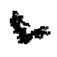 CC(C)C[C@H](NC(=O)[C@H](CCCCN)NC(=O)[C@H](CO)NC(=O)[C@@H](N)CCCCN)C(=O)NCC(=O)N[C@@H](CC(=O)O)C(=O)N[C@@H](CC(C)C)C(=O)N[C@H](C(=O)N[C@H](C(=O)N[C@H](C(=O)N[C@@H](CO)C(=O)N[C@@H](CC(C)C)C(=O)N1CCC[C@H]1C(=O)NCC(=O)NCC(=O)N[C@@H](CCC(=O)O)C(=O)N[C@@H](CCC(=O)O)C(=O)O)C(C)C)[C@@H](C)O)C(C)C